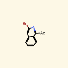 CC(=O)c1nc(Br)cc2ccccc12